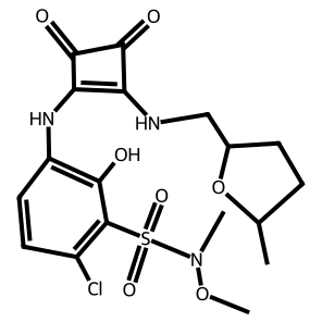 CON(C)S(=O)(=O)c1c(Cl)ccc(Nc2c(NCC3CCC(C)O3)c(=O)c2=O)c1O